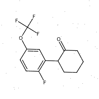 O=C1CCCCC1c1cc(OC(F)(F)F)ccc1F